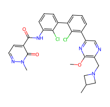 COc1nc(-c2cccc(-c3cccc(NC(=O)c4ccnn(C)c4=O)c3Cl)c2Cl)cnc1CN1CC(C)C1